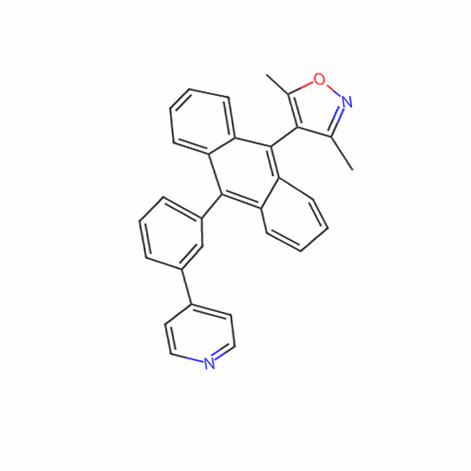 Cc1noc(C)c1-c1c2ccccc2c(-c2cccc(-c3ccncc3)c2)c2ccccc12